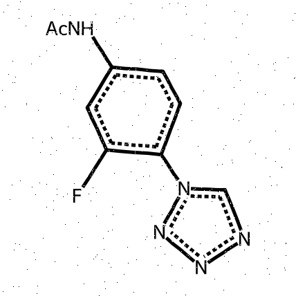 CC(=O)Nc1ccc(-n2cnnn2)c(F)c1